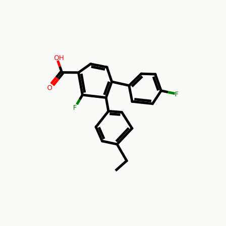 CCc1ccc(-c2c(-c3ccc(F)cc3)ccc(C(=O)O)c2F)cc1